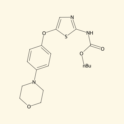 CCCCOC(=O)Nc1ncc(Oc2ccc(N3CCOCC3)cc2)s1